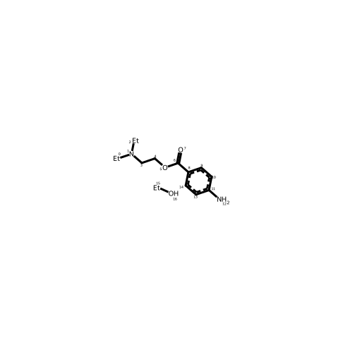 CCN(CC)CCOC(=O)c1ccc(N)cc1.CCO